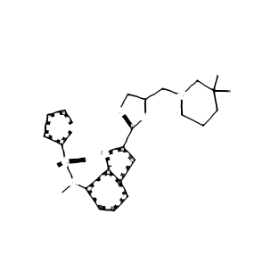 CN(c1cccc2cc(C3=NCC(CN4CCCC(F)(F)C4)S3)[nH]c12)S(=O)(=O)c1cccs1